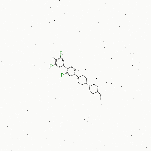 C=CC1CCC(C2CCC(c3ccc(-c4cc(F)c(C)c(F)c4)c(F)c3)CC2)CC1